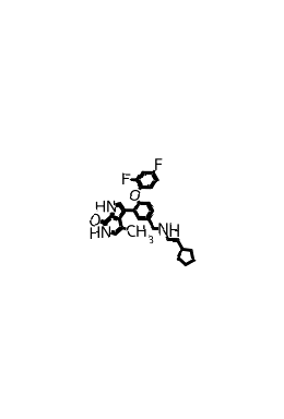 Cc1c[nH]c(=O)c2[nH]cc(-c3cc(CNCCC4CCCC4)ccc3Oc3ccc(F)cc3F)c12